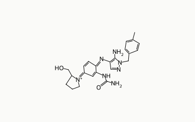 Cc1ccc(Cn2ncc(/N=C3C=C/C(=[N+]4/CCCC4CO)C=C/3NC(N)=O)c2N)cc1